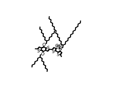 CCCCCCCCCCCCCCCCC(CCCCCCCCCCCCCC)CN1c2cc(C)sc2-c2sc(-c3cc4c(OCC(CCCCCC)CCCCCCCC)c5sc(C)cc5c(OCC(CCCCCC)CCCCCCCC)c4s3)cc2S1(=O)=O